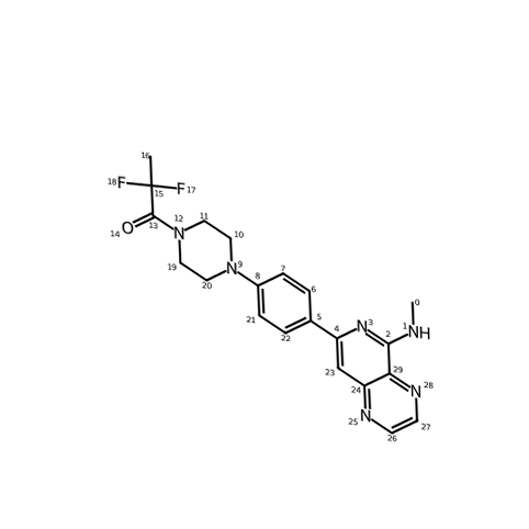 CNc1nc(-c2ccc(N3CCN(C(=O)C(C)(F)F)CC3)cc2)cc2nccnc12